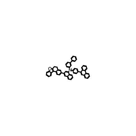 c1ccc(-c2cccc(N(c3ccc(-c4cc5ccccc5c5ccccc45)cc3)c3cc(-c4ccc5c(c4)CCc4oc6ccccc6c4-5)cc4ccccc34)c2)cc1